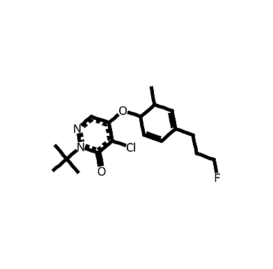 CC1C=C(CCCF)C=CC1Oc1cnn(C(C)(C)C)c(=O)c1Cl